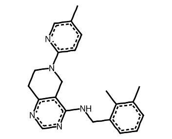 Cc1ccc(N2CCc3ncnc(NCc4cccc(C)c4C)c3C2)nc1